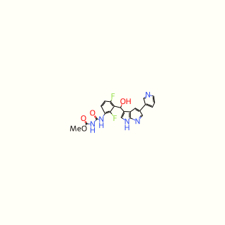 COC(=O)NC(=O)Nc1ccc(F)c(C(O)c2c[nH]c3ncc(-c4cccnc4)cc23)c1F